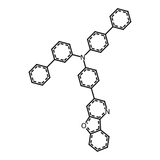 c1ccc(-c2ccc(N(c3ccc(-c4cnc5c(c4)oc4ccccc45)cc3)c3cccc(-c4ccccc4)c3)cc2)cc1